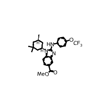 COC(=O)c1ccc2c(c1)nc(Nc1ccc(OC(F)(F)F)cc1)n2[C@@H]1C[C@H](C)CC(C)(C)C1